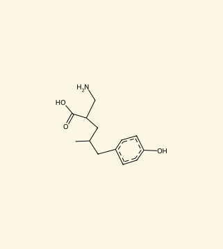 CC(Cc1ccc(O)cc1)CC(CN)C(=O)O